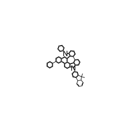 CC1(C)c2cc(-n3c4cccc5c4c4c6c(ccc43)c3cc(-c4ccccc4)ccc3c3c6c4c-5cccc4n3-c3ccccc3)ccc2C2C=CC=CC21